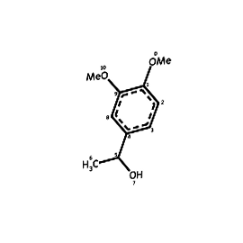 COc1ccc(C(C)O)cc1OC